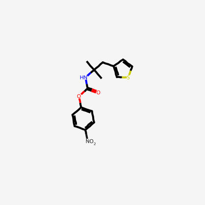 CC(C)(Cc1ccsc1)NC(=O)Oc1ccc([N+](=O)[O-])cc1